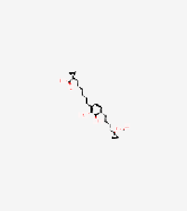 O=COC1(CCCCc2ccc(CCCCCCC3(C(=O)O)CC3)c(O)c2O)CC1